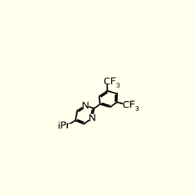 CC(C)c1cnc(-c2cc(C(F)(F)F)cc(C(F)(F)F)c2)nc1